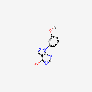 CCOc1cccc(-n2ncc3c(O)ncnc32)c1